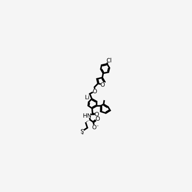 CSCC[C@H](NC(=O)c1ccc(COCc2cc(-c3ccc(Cl)cc3)co2)cc1-c1ccccc1C)C(=O)[O-].[Li+]